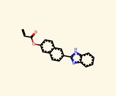 C=CC(=O)Oc1ccc2cc(-c3nc4ccccc4[nH]3)ccc2c1